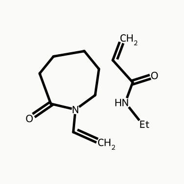 C=CC(=O)NCC.C=CN1CCCCCC1=O